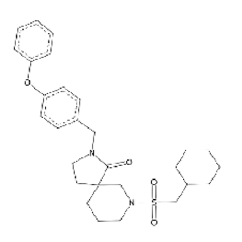 O=C1N(Cc2ccc(Oc3ccccc3)cc2)CCC12CCCN(S(=O)(=O)CC1CCCCC1)C2